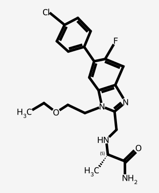 CCOCCn1c(CN[C@@H](C)C(N)=O)nc2cc(F)c(-c3ccc(Cl)cc3)cc21